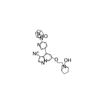 N#Cc1cnn2cc(OCCN3C4CCC3C(O)C4)cc(-c3ccc(N4CC5CC(C4)N5C=O)nc3)c12